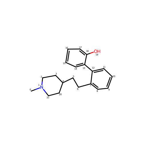 CN1CCC(CCc2ccccc2-c2ccccc2O)CC1